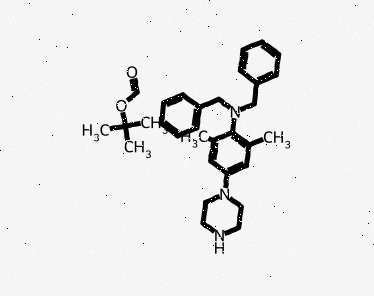 CC(C)(C)OC=O.Cc1cc(N2CCNCC2)cc(C)c1N(Cc1ccccc1)Cc1ccccc1